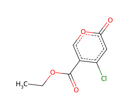 CCOC(=O)c1coc(=O)cc1Cl